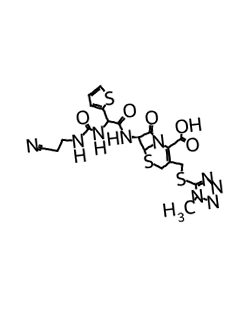 Cn1nnnc1SCC1=C(C(=O)O)N2C(=O)[C@H](NC(=O)C(NC(=O)NCCC#N)c3cccs3)C2SC1